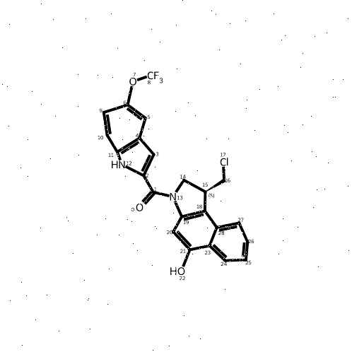 O=C(c1cc2cc(OC(F)(F)F)ccc2[nH]1)N1C[C@@H](CCl)c2c1cc(O)c1ccccc21